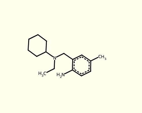 CCN(Cc1cc(C)ccc1N)C1CCCCC1